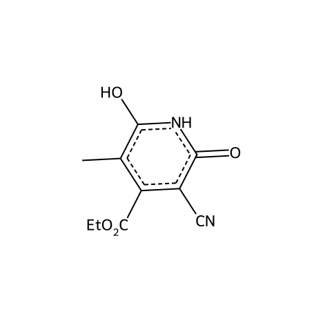 CCOC(=O)c1c(C)c(O)[nH]c(=O)c1C#N